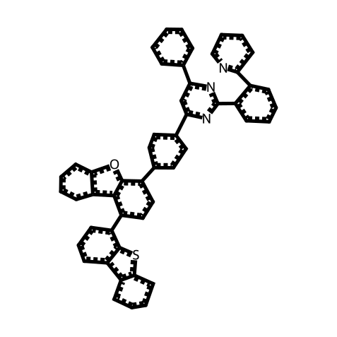 c1ccc(-c2cc(-c3ccc(-c4ccc(-c5cccc6c5sc5ccccc56)c5c4oc4ccccc45)cc3)nc(-c3ccccc3-c3ccccn3)n2)cc1